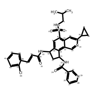 CC(C)CNS(=O)(=O)c1cc2c(c3cnc(C4CC4)cc13)C(NC(=O)c1cccnc1)CC2NC(=O)C=Cc1ccccc1Cl